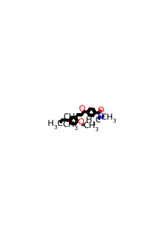 CCOc1ccc(C(C)(C)CC)cc1C=CC(=O)c1ccc(C(=O)N(C)C)cc1